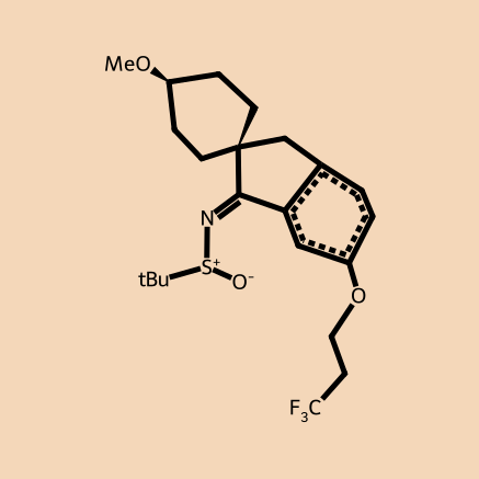 CO[C@H]1CC[C@@]2(CC1)Cc1ccc(OCCC(F)(F)F)cc1C2=N[S+]([O-])C(C)(C)C